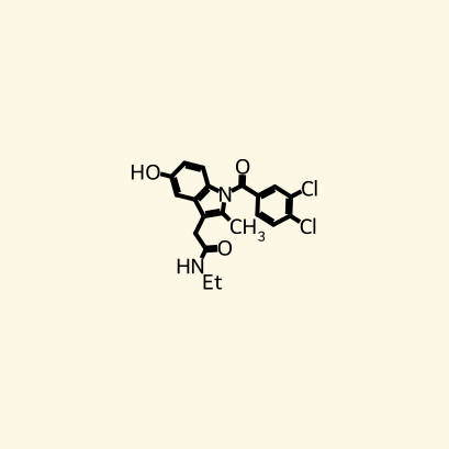 CCNC(=O)Cc1c(C)n(C(=O)c2ccc(Cl)c(Cl)c2)c2ccc(O)cc12